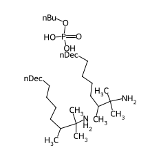 CCCCCCCCCCCCCCC(C)C(C)(C)N.CCCCCCCCCCCCCCC(C)C(C)(C)N.CCCCOP(=O)(O)O